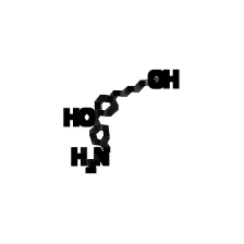 NCC1CCC(C(O)c2ccc(CCCCCCO)cc2)CC1